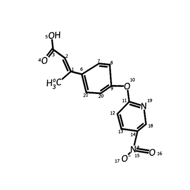 C/C(=C\C(=O)O)c1ccc(Oc2ccc([N+](=O)[O-])cn2)cc1